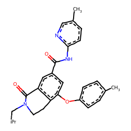 Cc1ccc(Oc2cc(C(=O)Nc3ccc(C)cn3)cc3c2CCN(CC(C)C)C3=O)cc1